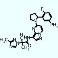 Cc1ncn(C(C)(C)C(=O)Nc2cnn3ccc(N4CCCC4c4cc(P)ccc4F)nc23)n1